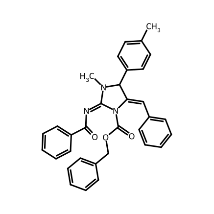 Cc1ccc(C2/C(=C/c3ccccc3)N(C(=O)OCc3ccccc3)/C(=N\C(=O)c3ccccc3)N2C)cc1